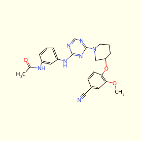 COc1cc(C#N)ccc1OC1CCCN(c2ncnc(Nc3cccc(NC(C)=O)c3)n2)C1